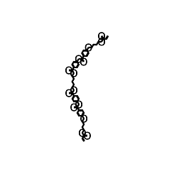 C=CC(=O)OCCCCOc1ccc(C(=O)Oc2ccc(C(=O)OCCCCCOC(=O)c3ccc(OC(=O)c4ccc(OCCCCOC(=O)C=C)cc4)cc3)cc2)cc1